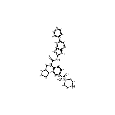 O=C(Nc1nc2ccc(-c3ccncc3)nc2s1)[C@H](CC1CCCC1)c1ccc(S(=O)(=O)N2CCNCC2)cc1